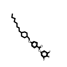 CCCCCCCCC1CCC(COc2ccc(C(=O)Oc3cc(F)c(F)c(F)c3)cc2)CC1